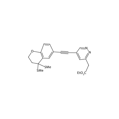 CCOC(=O)Cc1cc(C#Cc2ccc3c(c2)C(SC)(SC)CCO3)cnn1